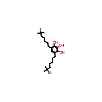 CCC(C)(C)CCCCCc1cc(CCCCCC(C)(C)I)c(O)c(O)c1O